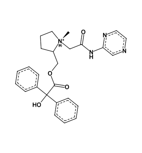 C[N@+]1(CC(=O)Nc2cnccn2)CCCC1COC(=O)C(O)(c1ccccc1)c1ccccc1